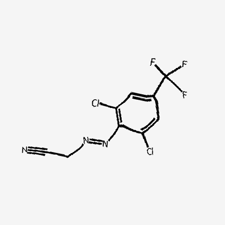 N#CCN=Nc1c(Cl)cc(C(F)(F)F)cc1Cl